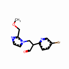 COCc1nccn1CC(C=O)c1ccc(Br)cn1